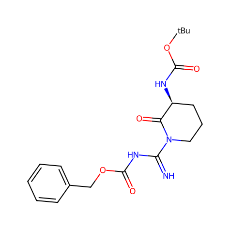 CC(C)(C)OC(=O)N[C@H]1CCCN(C(=N)NC(=O)OCc2ccccc2)C1=O